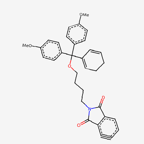 COc1ccc(C(OCCCCN2C(=O)c3c#cccc3C2=O)(C2=CCCC=C2)c2ccc(OC)cc2)cc1